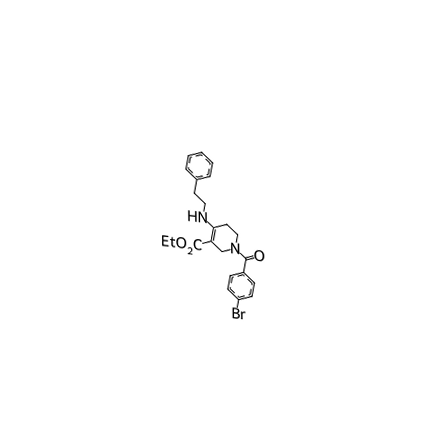 CCOC(=O)C1=C(NCCc2ccccc2)CCN(C(=O)c2ccc(Br)cc2)C1